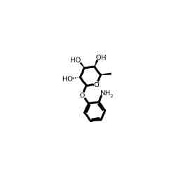 C[C@H]1OC(Oc2ccccc2N)[C@H](O)[C@@H](O)[C@H]1O